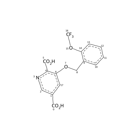 O=C(O)c1cnc(C(=O)O)c(OCc2ccccc2OC(F)(F)F)c1